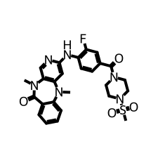 CN1C(=O)c2ccccc2N(C)c2cc(Nc3ccc(C(=O)N4CCN(S(C)(=O)=O)CC4)cc3F)ncc21